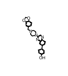 Oc1ccc(-c2ccc3ncc(N4CCN(Cc5ccc6c(c5)OCO6)CC4)nc3c2)cc1